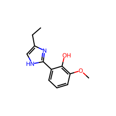 CCc1c[nH]c(-c2cccc(OC)c2O)n1